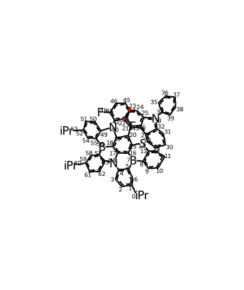 CC(C)c1ccc2c(c1)B1c3ccccc3Sc3c1c1c4c(c3-c3cccc5c3c3ccccc3n5-c3ccccc3)N(c3c(F)cccc3F)c3ccc(C(C)C)cc3B4c3cc(C(C)C)ccc3N21